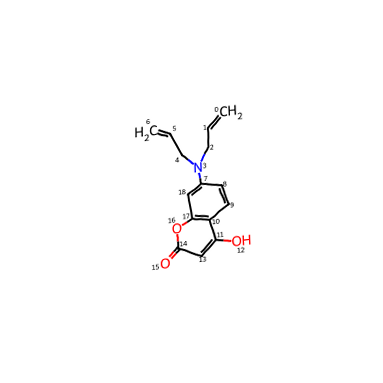 C=CCN(CC=C)c1ccc2c(O)cc(=O)oc2c1